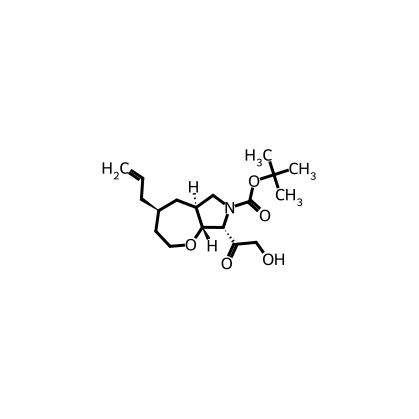 C=CC[C@@H]1CCO[C@@H]2[C@@H](C1)CN(C(=O)OC(C)(C)C)[C@@H]2C(=O)CO